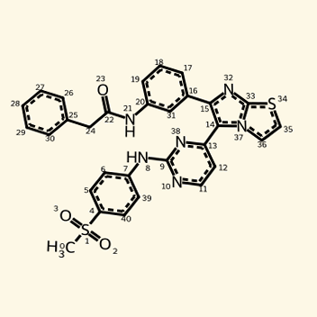 CS(=O)(=O)c1ccc(Nc2nccc(-c3c(-c4cccc(NC(=O)Cc5ccccc5)c4)nc4sccn34)n2)cc1